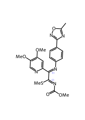 COC(=O)/N=C(SC)/C(=N/c1ccc(-c2noc(C)n2)cc1)c1cc(OC)c(OC)cn1